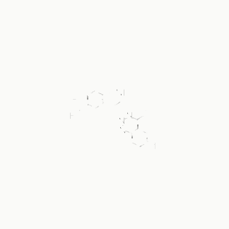 C[C@H](NC(=O)Cn1nnc2ccc(F)cc2c1=O)c1ccc(C(F)(F)F)cc1